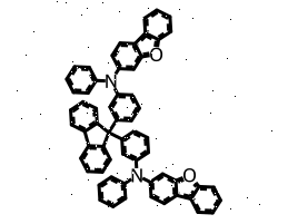 c1ccc(N(c2cccc(C3(c4cccc(N(c5ccccc5)c5ccc6c(c5)oc5ccccc56)c4)c4ccccc4-c4ccccc43)c2)c2ccc3c(c2)oc2ccccc23)cc1